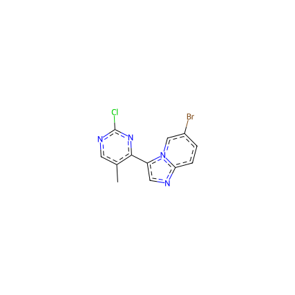 Cc1cnc(Cl)nc1-c1cnc2ccc(Br)cn12